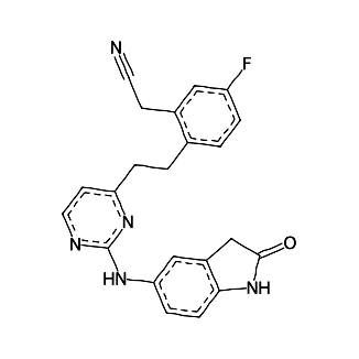 N#CCc1cc(F)ccc1CCc1ccnc(Nc2ccc3c(c2)CC(=O)N3)n1